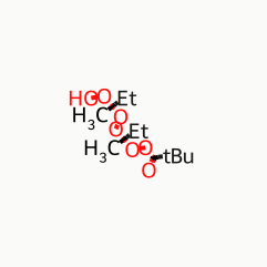 CCC(C)(OO)OOC(C)(CC)OOC(=O)C(C)(C)C